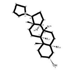 C[C@]12CC[C@@H](O)C[C@@H]1CC[C@@H]1[C@@H]2CC[C@]2(C)[C@@H](N3CCCC3)CC[C@@H]12